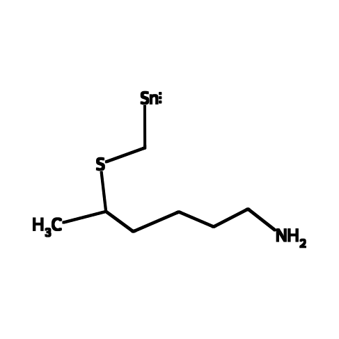 CC(CCCCN)S[CH2][Sn]